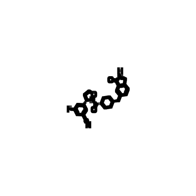 N#Cc1cc(F)cc([C@@H]2CCON2C(=O)[C@H]2CC[C@H](Cc3ccc4c(c3)C(=O)NC4)CC2)c1